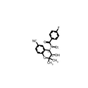 CCN(C(=O)c1ccc(F)cc1)[C@H]1c2cc(C#N)ccc2OC(C)(C)[C@@H]1O